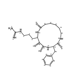 N=C(N)NCCCC1NC(=O)CCCCCNC(=O)C(Cc2ccccc2)NC(=O)C1=O